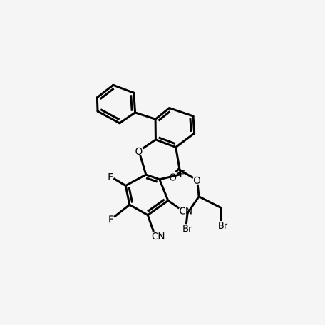 N#Cc1c(F)c(F)c(Oc2c(C(=O)OC(CBr)CBr)cccc2-c2ccccc2)c(F)c1C#N